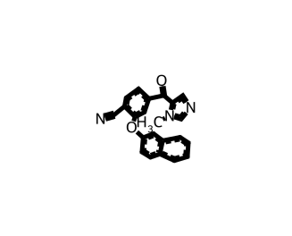 Cn1cncc1C(=O)c1ccc(C#N)c(Oc2ccc3ccccc3c2)c1